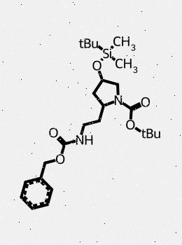 CC(C)(C)OC(=O)N1CC(O[Si](C)(C)C(C)(C)C)CC1CCNC(=O)OCc1ccccc1